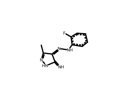 CC1=NNC(=N)/C1=N\Nc1ccccc1F